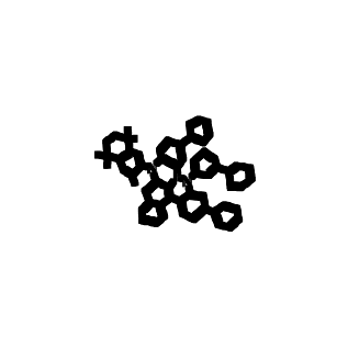 Cc1cc2c(cc1N1c3ccc(-c4ccccc4)cc3B3c4c1cc1ccccc1c4-c1ccc(-c4ccccc4)cc1N3c1cccc(-c3ccccc3)c1)C(C)(C)CCC2(C)C